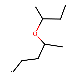 [CH2]CCC(C)OC(C)CC